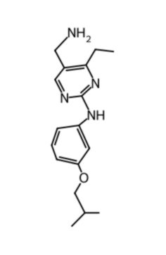 CCc1nc(Nc2cccc(OCC(C)C)c2)ncc1CN